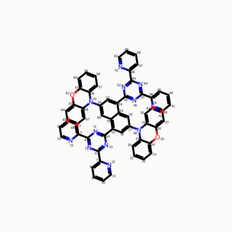 c1ccc(-c2nc(-c3ccccn3)nc(-c3cc(N4c5ccccc5Oc5ccccc54)cc4c(-c5nc(-c6ccccn6)nc(-c6ccccn6)n5)cc(N5c6ccccc6Oc6ccccc65)cc34)n2)nc1